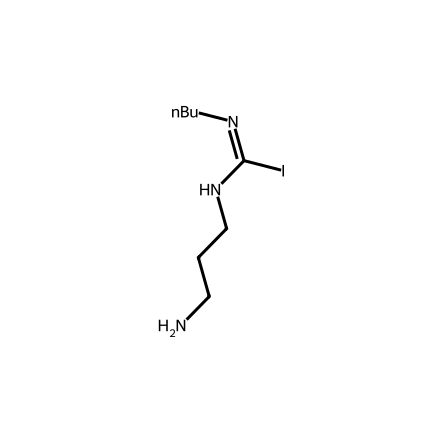 CCCC/N=C(/I)NCCCN